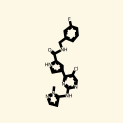 Cn1nccc1Nc1ncc(Cl)c(-c2c[nH]c(C(=O)NCc3cccc(F)c3)c2)n1